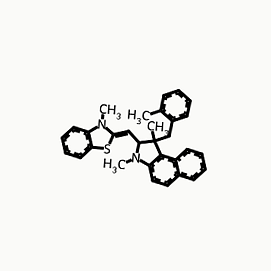 Cc1ccccc1CC1(C)c2c(ccc3ccccc23)N(C)C1/C=C1\Sc2ccccc2N1C